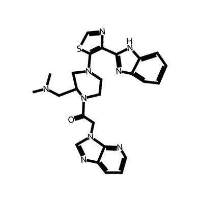 CN(C)CC1CN(c2scnc2-c2nc3ccccc3[nH]2)CCN1C(=O)Cn1cnc2cccnc21